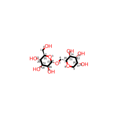 OC[C@H]1O[C@H](OC[C@H]2OC[C@@H](O)[C@@H](O)[C@@H]2O)[C@@H](O)[C@@H](O)[C@@H]1O